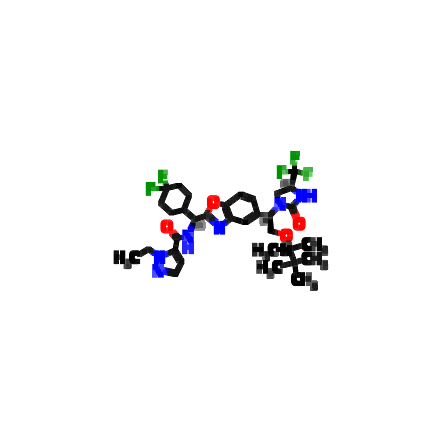 CCn1nccc1C(=O)N[C@H](c1nc2cc([C@H](CO[Si](C)(C)C(C)(C)C)N3C[C@@H](C(F)(F)F)NC3=O)ccc2o1)C1CCC(F)(F)CC1